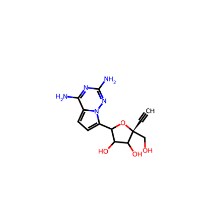 C#C[C@]1(CO)OC(c2ccc3c(N)nc(N)nn23)C(O)C1O